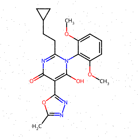 [CH2]c1nnc(-c2c(O)n(-c3c(OC)cccc3OC)c(CCC3CC3)nc2=O)o1